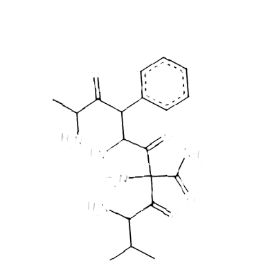 CC(N)C(=O)C(c1ccccc1)C(N)C(=O)C(N)(C(N)=O)C(=O)C(N)C(C)C